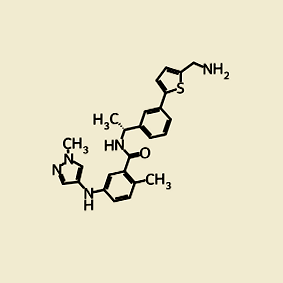 Cc1ccc(Nc2cnn(C)c2)cc1C(=O)N[C@H](C)c1cccc(-c2ccc(CN)s2)c1